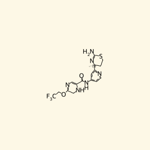 C[C@@]1(c2cc(NC(=O)C3=CN=C(OCC(F)(F)F)CN3)ccn2)CCSC(N)=N1